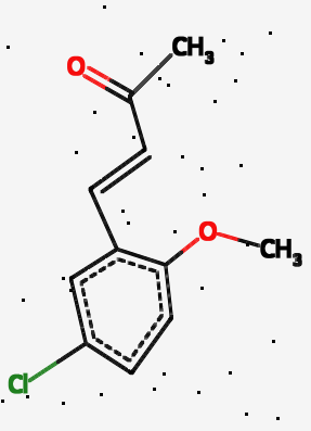 COc1ccc(Cl)cc1C=CC(C)=O